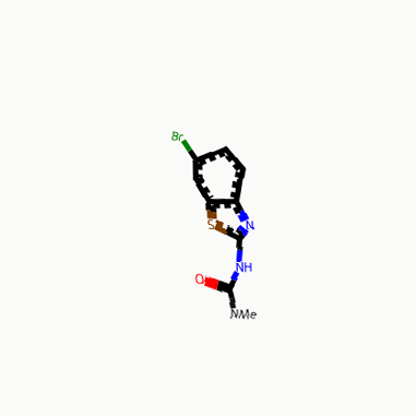 CNC(=O)Nc1nc2ccc(Br)cc2s1